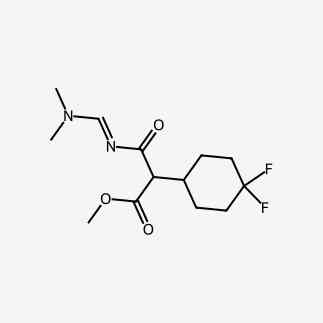 COC(=O)C(C(=O)/N=C/N(C)C)C1CCC(F)(F)CC1